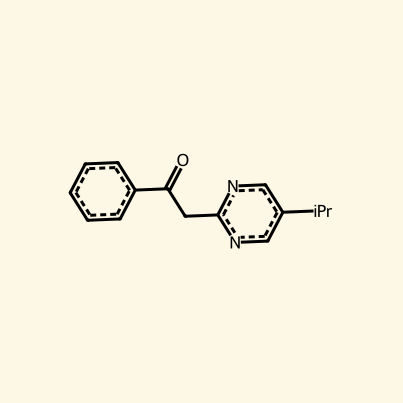 CC(C)c1cnc(CC(=O)c2ccccc2)nc1